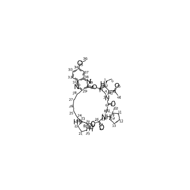 CC[C@@H]1[C@@H]2CN(C(=O)[C@H](C3(C)CCCC3)NC(=O)O[C@@H]3CCC[C@H]3CCCCCc3nc4ccc(OC)cc4nc3O2)[C@@H]1C(C)=O